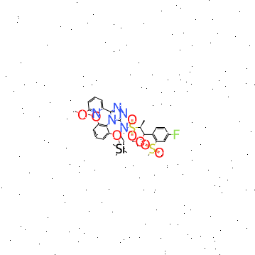 COc1cccc(-c2nnc(N(CC[Si](C)(C)C)S(=O)(=O)[C@@H](C)[C@H](OC)c3ccc(F)cc3S(C)(=O)=O)n2-c2c(OC)cccc2OC)n1